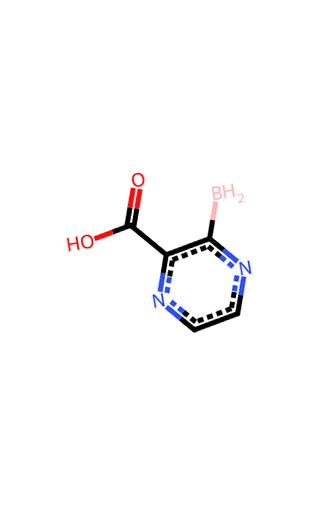 Bc1nccnc1C(=O)O